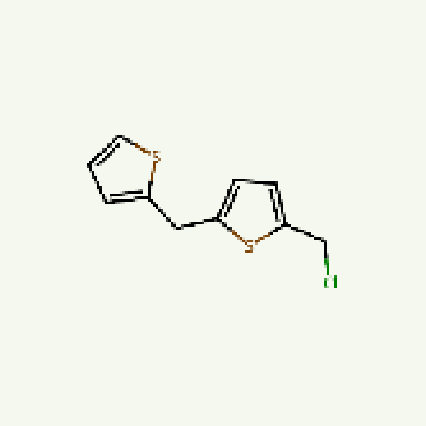 ClCc1ccc(Cc2cccs2)s1